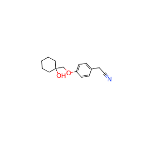 N#CCc1ccc(OCC2(O)CCCCC2)cc1